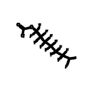 CC(F)C(F)(F)C(F)(F)C(F)(F)C(F)(F)C(F)(F)C(F)(F)OC(=O)Cl